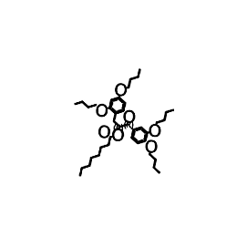 CCCCCCCC(=O)O[C@@H]1Cc2c(OCCCC)cc(OCCCC)cc2O[C@@H]1c1ccc(OCCCC)c(OCCCC)c1